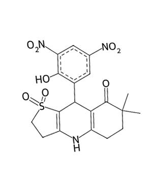 CC1(C)CCC2=C(C1=O)C(c1cc([N+](=O)[O-])cc([N+](=O)[O-])c1O)C1=C(CCS1(=O)=O)N2